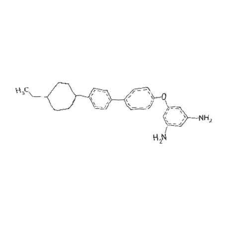 CCC1CCC(c2ccc(-c3ccc(Oc4cc(N)cc(N)c4)cc3)cc2)CC1